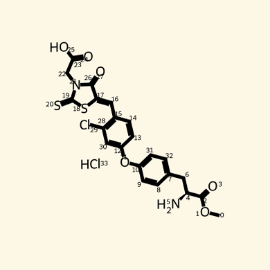 COC(=O)[C@@H](N)Cc1ccc(Oc2ccc(/C=C3\SC(=S)N(CC(=O)O)C3=O)c(Cl)c2)cc1.Cl